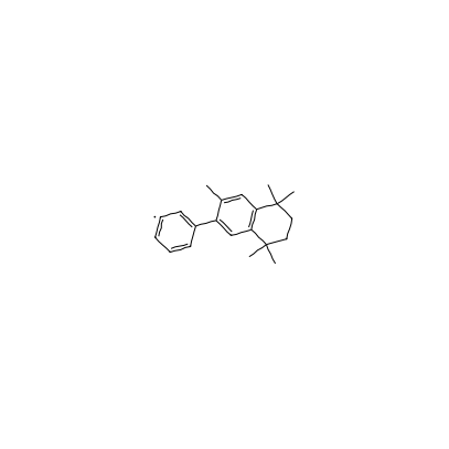 Cc1cc2c(cc1-c1c[c]ccc1)C(C)(C)CCC2(C)C